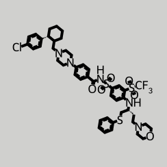 O=C(NS(=O)(=O)c1ccc(N[C@H](CCN2CCOCC2)CSc2ccccc2)c(S(=O)(=O)C(F)(F)F)c1)c1ccc(N2CCN(CC3CCCC[C@H]3c3ccc(Cl)cc3)CC2)cc1